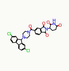 O=C1CCC(N2C(=O)c3ccc(C(=O)N4CCN(C5c6cc(Cl)ccc6-c6ccc(Cl)cc65)CC4)cc3C2=O)C(=O)N1